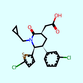 O=C(O)C[C@H]1C[C@H](c2cccc(Cl)c2)[C@@H](c2ccc(Cl)s2)N(CC2CC2)C1=O